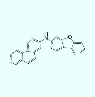 c1ccc2c(c1)ccc1cc(Nc3ccc4c(c3)oc3ccccc34)ccc12